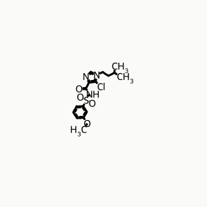 COc1cccc(S(=O)(=O)NC(=O)c2ncn(CCC(C)C)c2Cl)c1